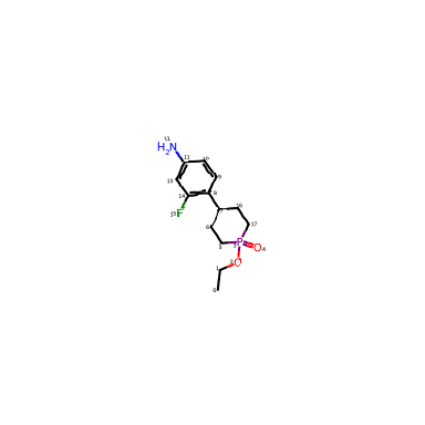 CCOP1(=O)CCC(c2ccc(N)cc2F)CC1